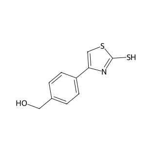 OCc1ccc(-c2csc(S)n2)cc1